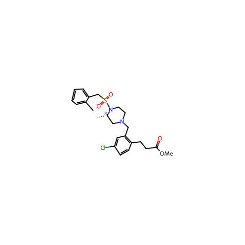 COC(=O)CCc1ccc(Cl)cc1CN1CCN(S(=O)(=O)Cc2ccccc2C)[C@@H](C)C1